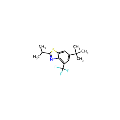 CC(C)c1nc2c(C(F)(F)F)cc(C(C)(C)C)cc2s1